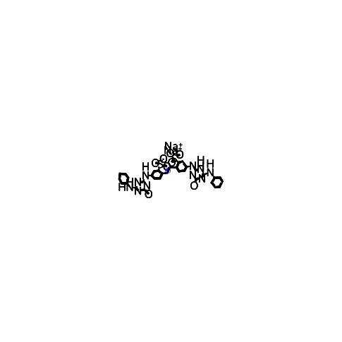 O=c1nc(Nc2ccccc2)[nH]c(Nc2ccc(/C=C/c3ccc(Nc4nc(=O)nc(Nc5ccccc5)[nH]4)cc3S(=O)(=O)[O-])c(S(=O)(=O)[O-])c2)n1.[Na+].[Na+]